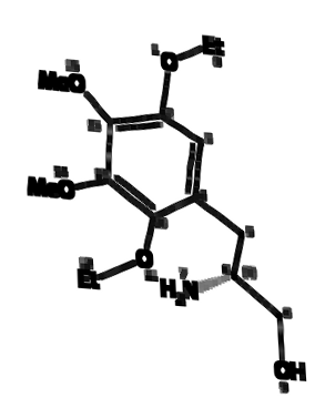 CCOc1cc(C[C@@H](N)CO)c(OCC)c(OC)c1OC